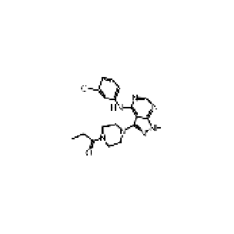 CCC(=O)N1CCN(c2n[nH]c3ncnc(Nc4cccc(Cl)c4)c23)CC1